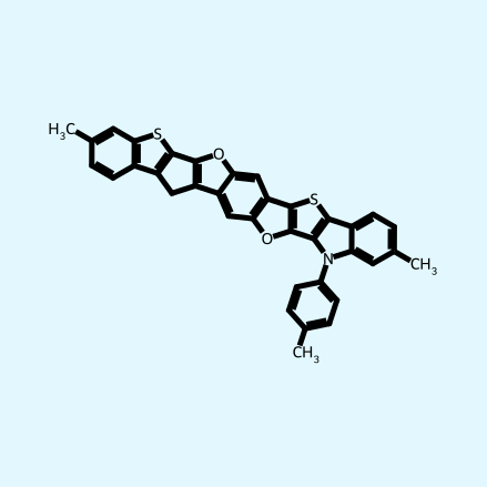 Cc1ccc(-n2c3cc(C)ccc3c3sc4c5cc6oc7c(c6cc5oc4c32)Cc2c-7sc3cc(C)ccc23)cc1